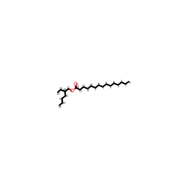 CCCCCCCCCCCCCCC(=O)OCC(CC)CCCC